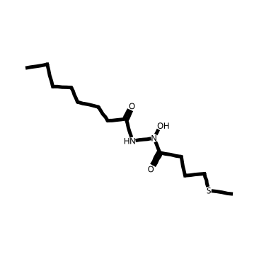 CCCCCCCC(=O)NN(O)C(=O)CCCSC